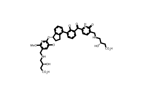 COc1nc(O[C@H]2CCc3c(-c4cccc(C(=O)c5ccc(CNC[C@@H](O)CC(=O)O)c(=O)[nH]5)c4Cl)cccc32)c(Cl)cc1CNC[C@@H](O)CC(=O)O